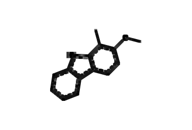 COc1ccc2c([nH]c3ccccc32)c1C